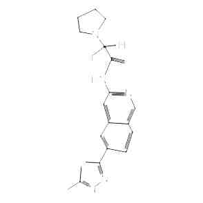 [2H]C([2H])(C(=O)Nc1cc2cc(-c3nnc(C)s3)ccc2cn1)N1CCCC1